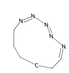 C1=N/N=N/N=N\CCCCC\1